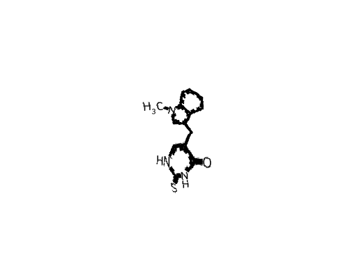 Cn1cc(Cc2c[nH]c(=S)[nH]c2=O)c2ccccc21